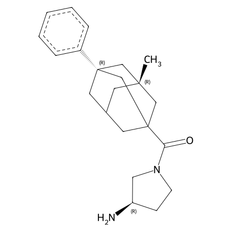 C[C@]12CC3CC(C(=O)N4CC[C@@H](N)C4)(C1)C[C@@](c1ccccc1)(C3)C2